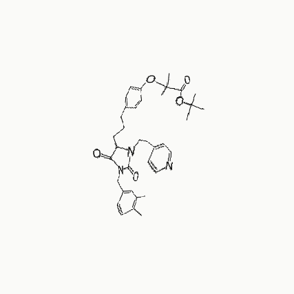 Cc1ccc(CN2C(=O)C(CCCc3ccc(OC(C)(C)C(=O)OC(C)(C)C)cc3)N(Cc3ccncc3)C2=O)cc1C